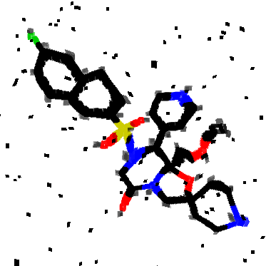 COC[C@@]12OC3(CCNCC3)CN1C(=O)CN(S(=O)(=O)c1ccc3cc(Cl)ccc3c1)C2c1ccncc1